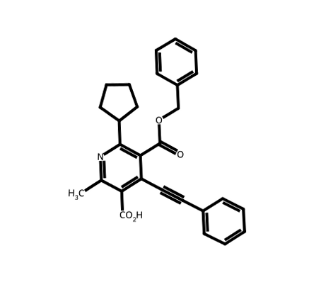 Cc1nc(C2CCCC2)c(C(=O)OCc2ccccc2)c(C#Cc2ccccc2)c1C(=O)O